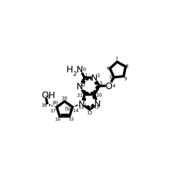 Nc1nc(OC2CCCC2)c2ncn([C@@H]3C=C[C@H](CO)C3)c2n1